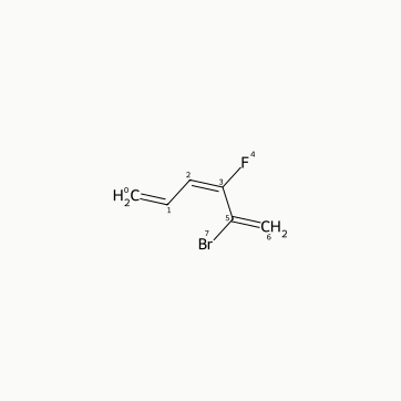 C=C/C=C(/F)C(=C)Br